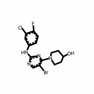 OC1CCN(c2nc(Nc3ccc(F)c(Cl)c3)ncc2Br)CC1